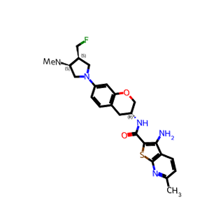 CN[C@@H]1CN(c2ccc3c(c2)OC[C@H](NC(=O)c2sc4nc(C)ccc4c2N)C3)C[C@@H]1CF